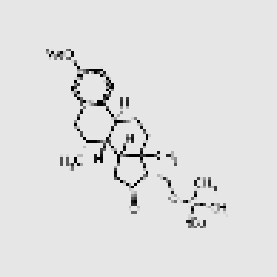 COc1ccc2c(c1)C[C@@H](C)[C@@H]1[C@@H]2CC[C@]2(C)[C@H](CO[Si](C)(C)C(C)(C)C)C(=O)C[C@H]12